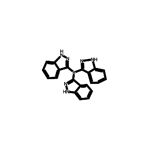 c1ccc2c(B(c3n[nH]c4ccccc34)c3n[nH]c4ccccc34)n[nH]c2c1